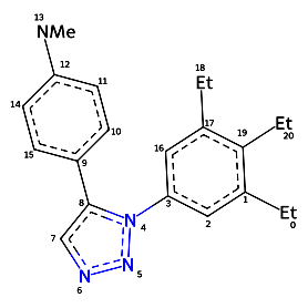 CCc1cc(-n2nncc2-c2ccc(NC)cc2)cc(CC)c1CC